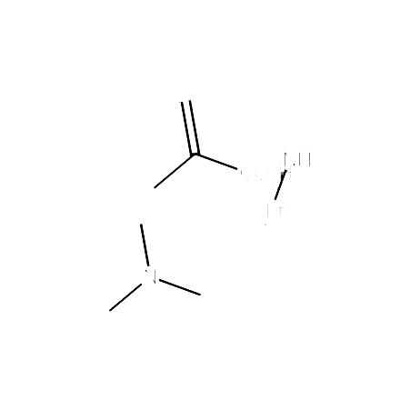 C=C(C)C(=O)O.CCN.CN(C)C